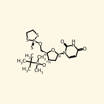 CC(C)(C)[Si](C)(C)O[C@H]1C[C@H](n2ccc(=O)[nH]c2=O)O[C@@H]1COP1(=S)SCCS1